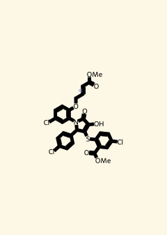 COC(=O)/C=C/COc1ccc(Cl)cc1N1C(=O)C(O)=C(Sc2ccc(Cl)cc2C(=O)OC)C1c1ccc(Cl)cc1